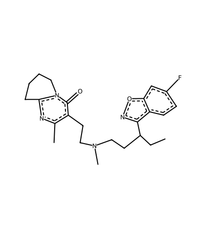 CCC(CCN(C)CCc1c(C)nc2n(c1=O)CCCC2)c1noc2cc(F)ccc12